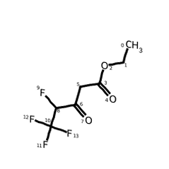 CCOC(=O)CC(=O)C(F)C(F)(F)F